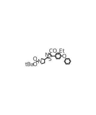 CCOC(=O)c1nc(C2CCN(C(=O)OC(C)(C)C)C2)sc1-c1ccc(Oc2ccccc2)cc1